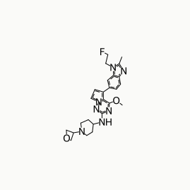 COc1nc(NC2CCN(C3COC3)CC2)nn2ccc(-c3ccc4nc(C)n(CCF)c4c3)c12